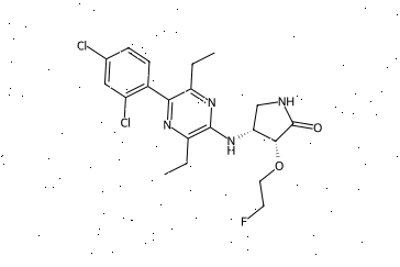 CCc1nc(-c2ccc(Cl)cc2Cl)c(CC)nc1N[C@@H]1CNC(=O)[C@@H]1OCCF